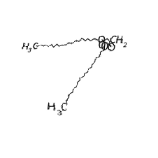 C=C(CC(=O)OCCCCCCCCCCCCCCCCCCCCCC)C(=O)OCCCCCCCCCCCCCCCCCCCCCC